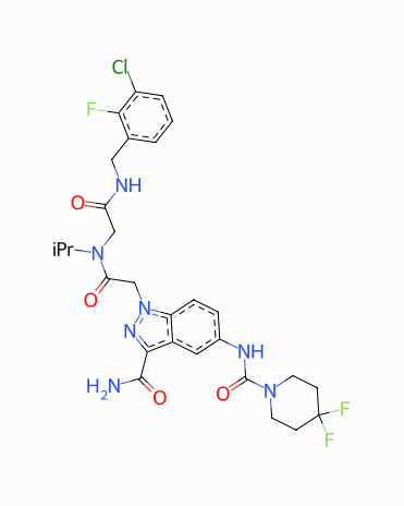 CC(C)N(CC(=O)NCc1cccc(Cl)c1F)C(=O)Cn1nc(C(N)=O)c2cc(NC(=O)N3CCC(F)(F)CC3)ccc21